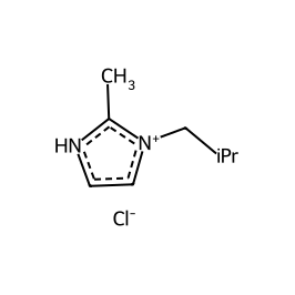 Cc1[nH]cc[n+]1CC(C)C.[Cl-]